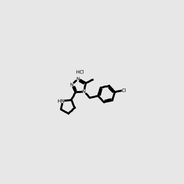 Cc1nnc(C2CCCN2)n1Cc1ccc(Cl)cc1.Cl